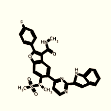 CNC(=O)c1c(-c2ccc(F)cc2)oc2cc(N(C)S(C)(=O)=O)c(-c3ccnc(-c4cc5ccccc5[nH]4)n3)cc12